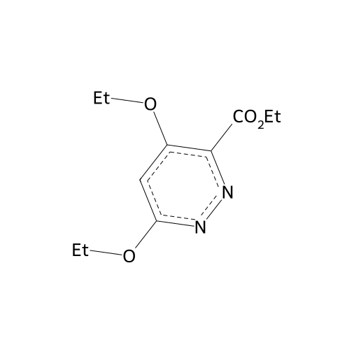 CCOC(=O)c1nnc(OCC)cc1OCC